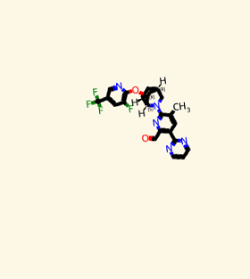 Cc1cc(-c2ncccn2)c(C=O)nc1N1C[C@@H]2CC[C@H]1[C@H](Oc1ncc(C(F)(F)F)cc1F)C2